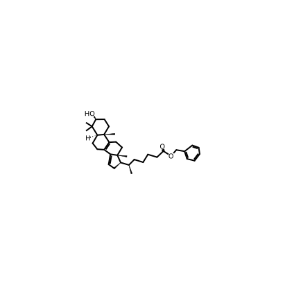 C[C@H](CCCCC(=O)OCc1ccccc1)[C@H]1CC=C2C3=C(CC[C@@]21C)[C@@]1(C)CC[C@H](O)C(C)(C)[C@@H]1CC3